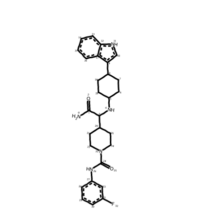 NC(=O)C(NC1CCC(c2c[nH]c3ccccc23)CC1)C1CCN(C(=O)Nc2cccc(F)c2)CC1